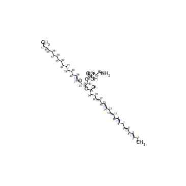 CC/C=C/C/C=C/C/C=C/C/C=C/C/C=C/C/C=C/CCC(=O)O[C@H](CO/C=C/CCCCCCCCCCCCCC)COP(=O)(O)OCCN